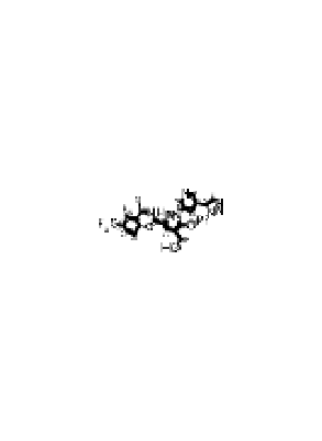 CC(C)n1nncc1-c1cncc(-n2nc(C(=O)N[C@H](C)c3cccc(C(F)(F)F)c3F)cc(CO)c2=O)c1